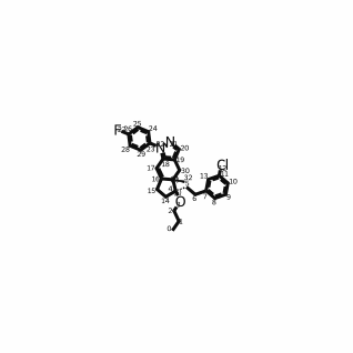 CCCO[C@@]1(CCc2cccc(Cl)c2)CCC2=Cc3c(cnn3-c3ccc(F)cc3)C[C@@]21C